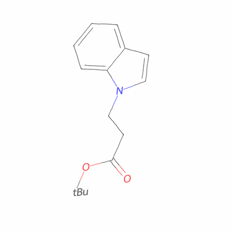 CC(C)(C)OC(=O)CCn1ccc2ccccc21